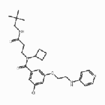 CC(C)(C)CNC(=O)CCN(C(=O)c1cc(Cl)cc(OCCNc2ccncc2)c1)C1CCC1